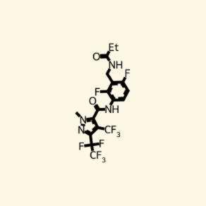 CCC(=O)NCc1c(F)ccc(NC(=O)c2c(C(F)(F)F)c(C(F)(F)C(F)(F)F)nn2C)c1F